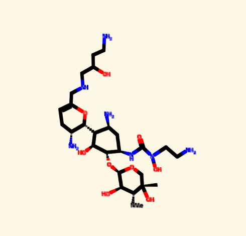 CN[C@@H]1[C@@H](O)[C@@H](O[C@H]2[C@H](NC(=O)N(O)CCN)C[C@H](N)C([C@H]3OC(CNCC(O)CCN)=CC[C@H]3N)[C@@H]2O)OC[C@]1(C)O